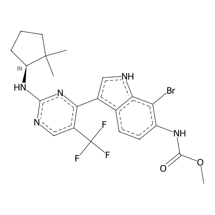 COC(=O)Nc1ccc2c(-c3nc(N[C@H]4CCCC4(C)C)ncc3C(F)(F)F)c[nH]c2c1Br